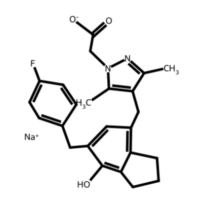 Cc1nn(CC(=O)[O-])c(C)c1Cc1cc(Cc2ccc(F)cc2)c(O)c2c1CCC2.[Na+]